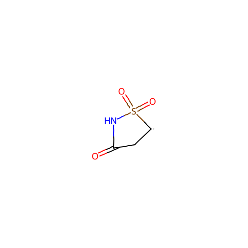 O=C1C[CH]S(=O)(=O)N1